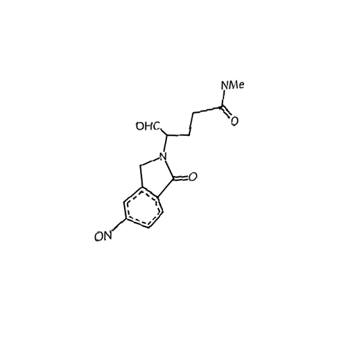 CNC(=O)CCC(C=O)N1Cc2cc(N=O)ccc2C1=O